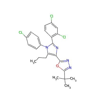 CCCc1c(-c2nnc(C(C)(C)C)o2)nc(-c2ccc(Cl)cc2Cl)n1-c1ccc(Cl)cc1